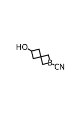 N#CB1CC2(C1)CC(O)C2